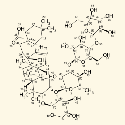 C[C@@H]1O[C@@H](O[C@H]2[C@H](O[C@H]3CC[C@]4(C)[C@H]5CC=C6[C@@H]7CC(C)(C)CC[C@]7(C(=O)O)CC[C@@]6(C)[C@]5(C)CC[C@H]4C3(C)C)OC[C@H](O)[C@@H]2O)[C@H](O)[C@H](O[C@@H]2O[C@H](CO)[C@@H](O[C@@H]3O[C@H](CO)[C@@H](O)[C@H](O)[C@H]3O)[C@H](O)[C@H]2O)[C@H]1O